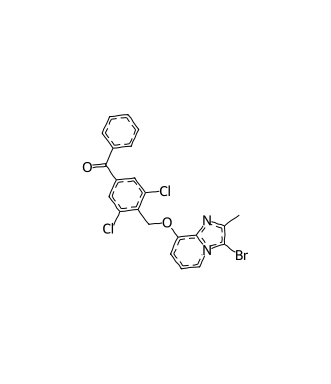 Cc1nc2c(OCc3c(Cl)cc(C(=O)c4ccccc4)cc3Cl)cccn2c1Br